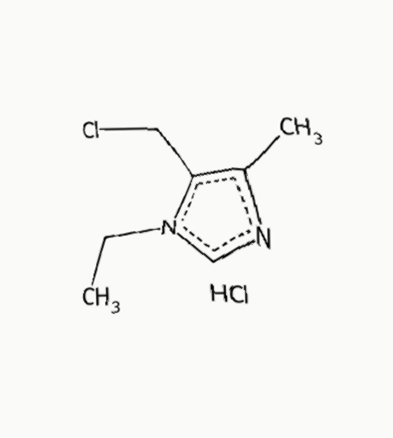 CCn1cnc(C)c1CCl.Cl